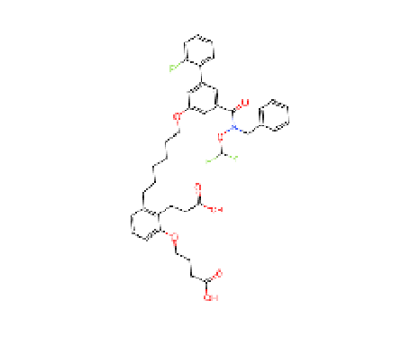 O=C(O)CCCOc1cccc(CCCCCCOc2cc(C(=O)N(Cc3ccccc3)OC(F)F)cc(-c3ccccc3F)c2)c1CCC(=O)O